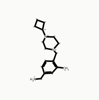 Cc1cc(CN)ccc1CN1CCN(C2CCC2)CC1